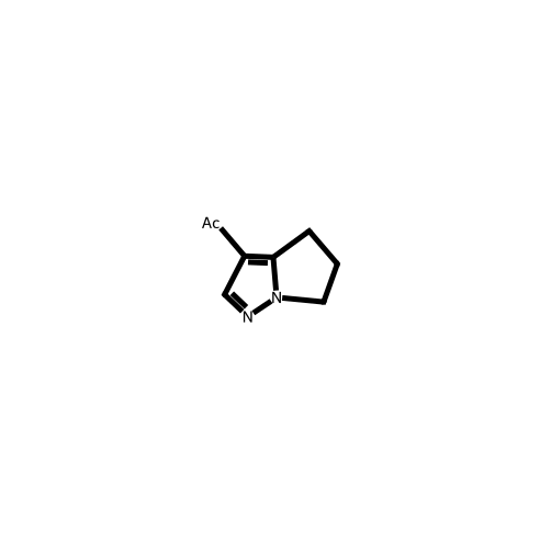 CC(=O)c1cnn2c1CCC2